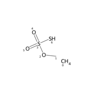 C.COS(=O)(=O)S